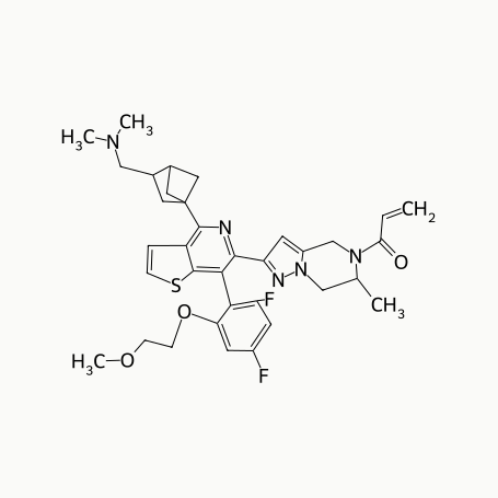 C=CC(=O)N1Cc2cc(-c3nc(C45CC(CN(C)C)C(C4)C5)c4ccsc4c3-c3c(F)cc(F)cc3OCCOC)nn2CC1C